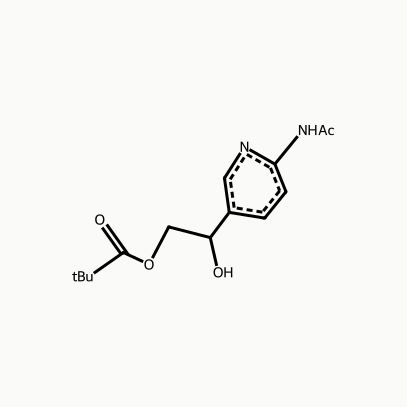 CC(=O)Nc1ccc(C(O)COC(=O)C(C)(C)C)cn1